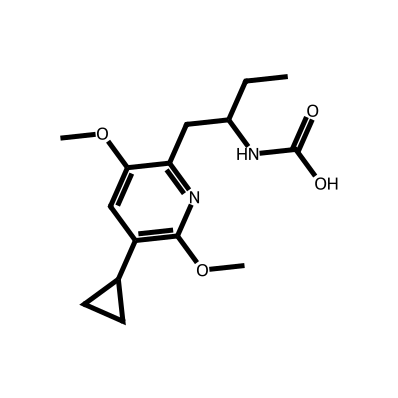 CCC(Cc1nc(OC)c(C2CC2)cc1OC)NC(=O)O